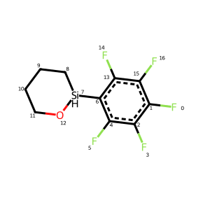 Fc1c(F)c(F)c([SiH]2CCCCO2)c(F)c1F